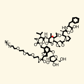 CCC(C)[C@@H]([C@@H](CC(=O)N1CCC[C@H]1[C@H](OC)[C@@H](C)C(=O)NC(Cc1ccccc1)C(=O)O)OC)N(C)C(=O)[C@@H](NC(=O)[C@H](C(C)C)N(C)C(=O)OCc1ccc(O[C@H]2C[C@@H](O)[C@@H](O)[C@@H](CO)O2)c2cc(C(=O)N(C)CCOCCOCCOCCN=[N+]=[N-])sc12)C(C)C